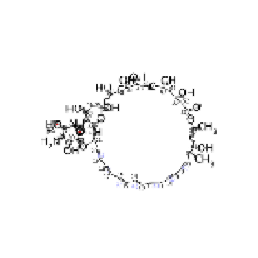 C[C@H]1C[C@H](O)[C@@H](C)/C=C/C=C/C=C/C=C/C=C/C=C/C=C/C(O[C@@H]2OC[C@@H](O)[C@H](N)[C@@H]2O)C[C@@H]2OC(O)(CC(O)CC(O)C(O)CCC(O)CC(O)CC(=O)O1)C[C@H](O)C2C(=O)NCCF